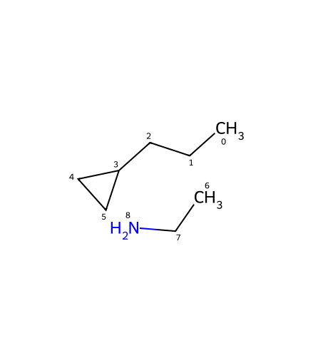 CCCC1CC1.CCN